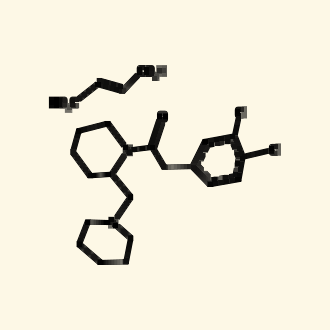 O=C(Cc1ccc(Cl)c(Cl)c1)N1CCCCC1CN1CCCCC1.O=C(O)C=CC(=O)O